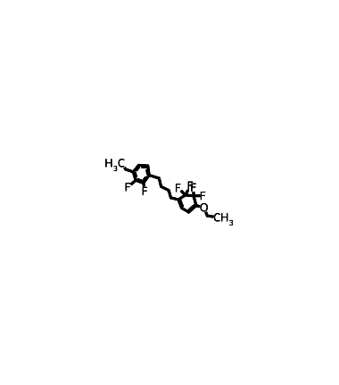 CCOC1=CC=C(CCCCc2ccc(CC)c(F)c2F)C(F)(F)C1(F)F